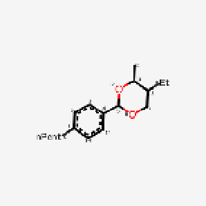 CCCCCc1ccc(C2OCC(CC)C(C)O2)cc1